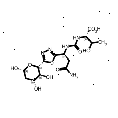 CC(O)[C@H](NC(=O)N[C@@H](CC(N)=O)c1nnc([C@H]2O[C@@H](O)C[C@@H](O)[C@@H]2O)o1)C(=O)O